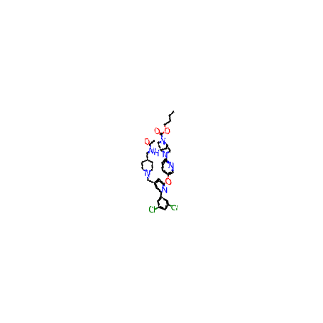 CCCCOC(=O)N1CC2CC1CN2c1ccc(Oc2cc(CN3CCC(CNC(C)=O)CC3)cc(-c3cc(Cl)cc(Cl)c3)n2)cn1